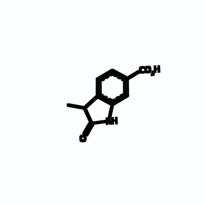 CC1C(=O)Nc2cc(C(=O)O)ccc21